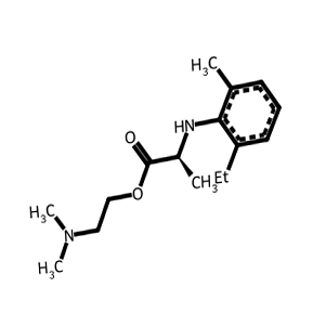 CCc1cccc(C)c1N[C@@H](C)C(=O)OCCN(C)C